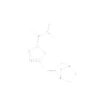 CN(C)C(=O)n1cnc(SC2CC3CCC2C3)n1